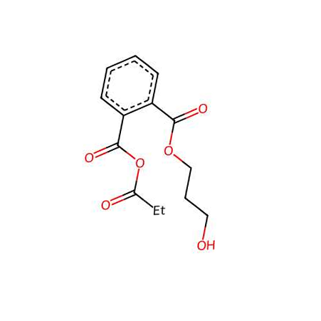 CCC(=O)OC(=O)c1ccccc1C(=O)OCCCO